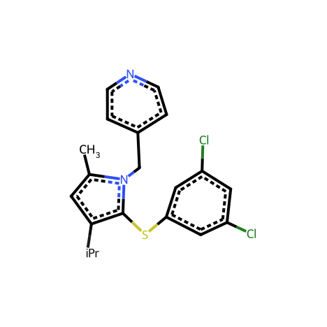 Cc1cc(C(C)C)c(Sc2cc(Cl)cc(Cl)c2)n1Cc1ccncc1